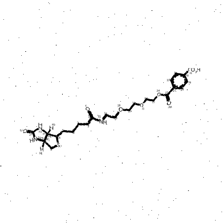 O=C(CCCCC1SC[C@@H]2NC(=O)N[C@H]12)NCCOCCOCCOC(=O)c1ccc(C(=O)O)cc1